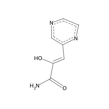 NC(=O)C(O)=Cc1cnccn1